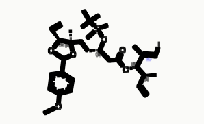 C=C[C@@H]1OC(c2ccc(OC)cc2)O[C@]1(C)CC[C@@H](CC(=O)O[C@H](/C(C)=C/I)[C@@H](C)C=C)O[Si](C)(C)C(C)(C)C